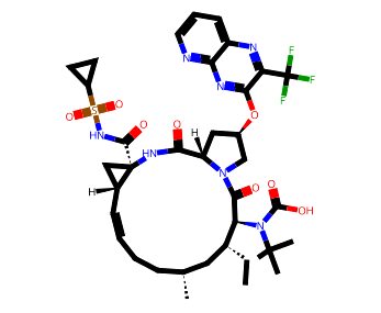 CC[C@@H]1C[C@H](C)CC/C=C\[C@@H]2C[C@@]2(C(=O)NS(=O)(=O)C2CC2)NC(=O)[C@@H]2C[C@@H](Oc3nc4ncccc4nc3C(F)(F)F)CN2C(=O)[C@H]1N(C(=O)O)C(C)(C)C